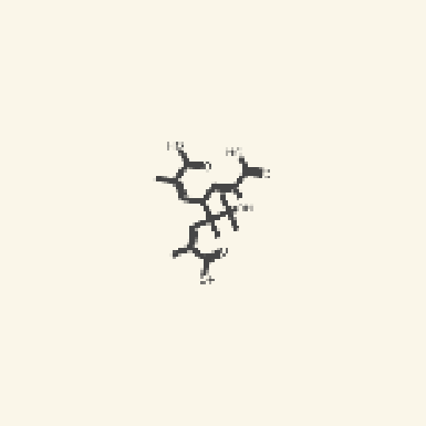 CC(=CC(C=C(C)C(=O)O)C(C)(C=C(C)C(=O)O)C(C)(C)O)C(=O)O